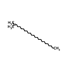 CCCCCCCCCCCCCCCCCCCCCCCN(C)C